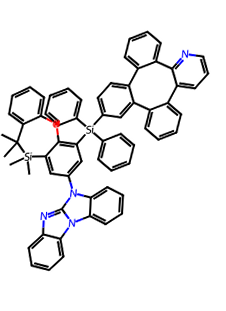 CC1(C)c2ccccc2Oc2c([Si](c3ccccc3)(c3ccccc3)c3ccc4c(c3)-c3ccccc3-c3cccnc3-c3ccccc3-4)cc(-n3c4ccccc4n4c5ccccc5nc34)cc2[Si]1(C)C